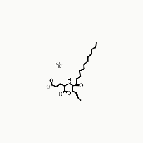 CCCCCCCCCCCC(=O)C(CCCC)NC(CCC(=O)[O-])C(=O)[O-].[K+].[K+]